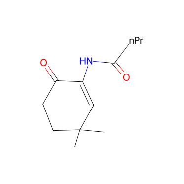 CCCC(=O)NC1=CC(C)(C)CCC1=O